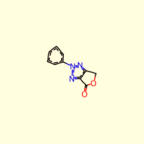 O=C1OCc2nn(-c3ccccc3)nc21